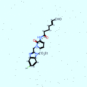 CCOC(=O)n1c(Cn2cccc(NC(=O)CCC/C=C/C=O)c2=O)nc2cc(F)ccc21